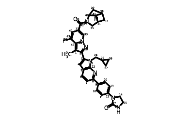 Cc1c(-c2cc3ccc(-c4ccc(N5CCNC5=O)cc4)nc3n2CC2CC2)nn2cc(C(=O)N3CC4CC5CC3[C@H]54)cc(F)c12